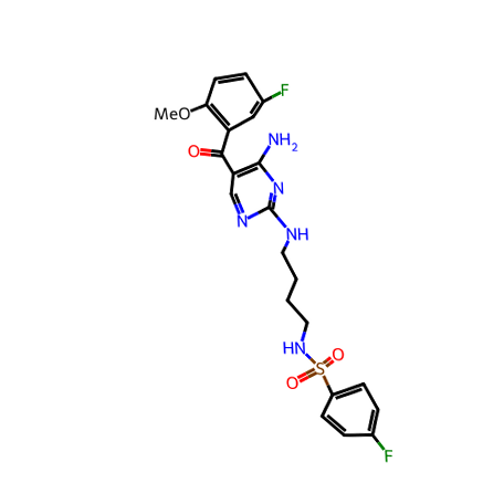 COc1ccc(F)cc1C(=O)c1cnc(NCCCCNS(=O)(=O)c2ccc(F)cc2)nc1N